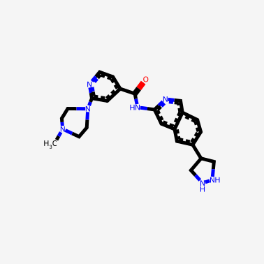 CN1CCN(c2cc(C(=O)Nc3cc4cc(C5CNNC5)ccc4cn3)ccn2)CC1